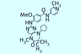 COc1cc(C(=O)Nc2ccnc(C)c2)ccc1Nc1ncc2c(n1)N(C1CCCC1)CC(C)(C)C(=O)N2C